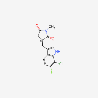 CN1C(=O)C[C@H](Cc2c[nH]c3c(Cl)c(F)ccc23)C1=O